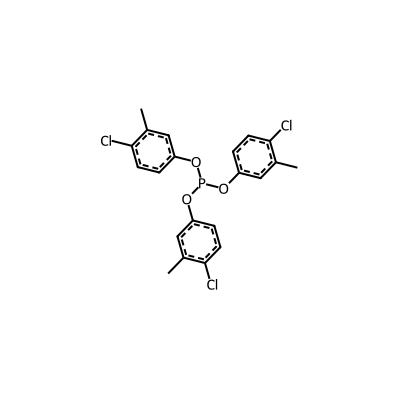 Cc1cc(OP(Oc2ccc(Cl)c(C)c2)Oc2ccc(Cl)c(C)c2)ccc1Cl